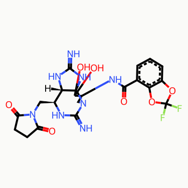 N=C1N[C@H]2[C@H](CN3C(=O)CCC3=O)NC(=N)N3CC(NC(=O)c4cccc5c4OC(F)(F)O5)C(O)(O)[C@]23N1